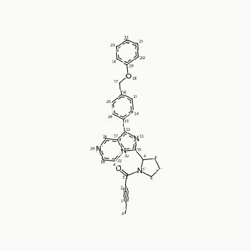 CC#CC(=O)N1CCCC1c1nc(-c2ccc(COc3ccccc3)cc2)c2cnccn12